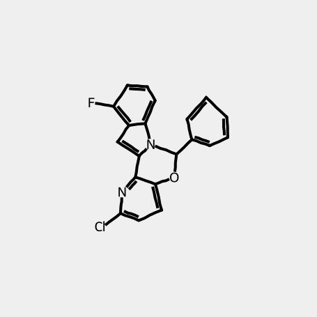 Fc1cccc2c1cc1n2C(c2ccccc2)Oc2ccc(Cl)nc2-1